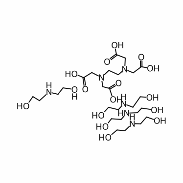 O=C(O)CN(CCN(CC(=O)O)CC(=O)O)CC(=O)O.OCCNCCO.OCCNCCO.OCCNCCO.OCCNCCO